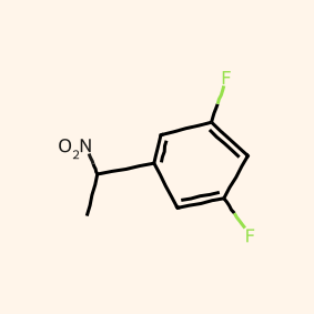 CC(c1cc(F)cc(F)c1)[N+](=O)[O-]